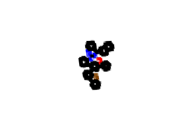 c1ccc2cc(-c3nc(-n4c5ccccc5c5c(-c6cccc7c6sc6ccccc67)cc6c7ccccc7oc6c54)nc4ccccc34)ccc2c1